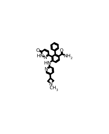 CN1CC(c2ccc(Nc3ccc(C(N)=O)c(-c4ccccc4)c3-c3ccc(=O)[nH]n3)nc2)C1